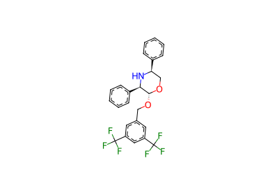 FC(F)(F)c1cc(CO[C@H]2OC[C@H](c3ccccc3)N[C@@H]2c2ccccc2)cc(C(F)(F)F)c1